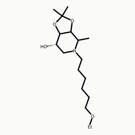 CCOCCCCCCN1C[C@H](O)C2OC(C)(C)OC2C1C